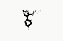 Cn1cc(-c2ccc(F)cc2)c(OC(=O)O)n1